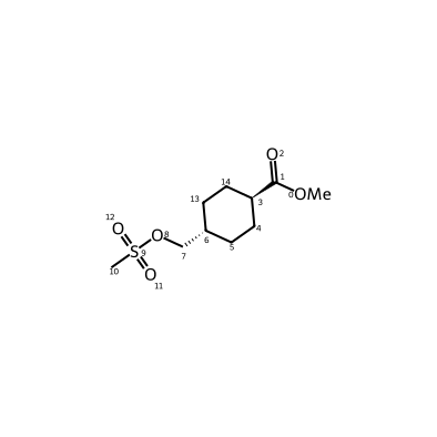 COC(=O)[C@H]1CC[C@H](COS(C)(=O)=O)CC1